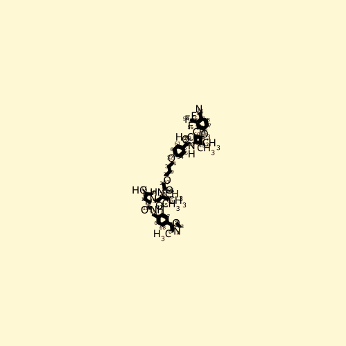 Cc1ncoc1-c1ccc(CNC(=O)[C@@H]2C[C@@H](O)CN2C(=O)C(NC(=O)COCCCCOc2ccc(C(=O)N[C@H]3C(C)(C)[C@H](Oc4ccc(C#N)c(C(F)(F)F)c4)C3(C)C)cc2)C(C)(C)C)cc1